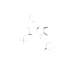 C=CC(=O)N(CC(=O)[C@H](CC(C)C)NC(=O)OC(C)(C)C)C[C@@H]1CCNC1=O